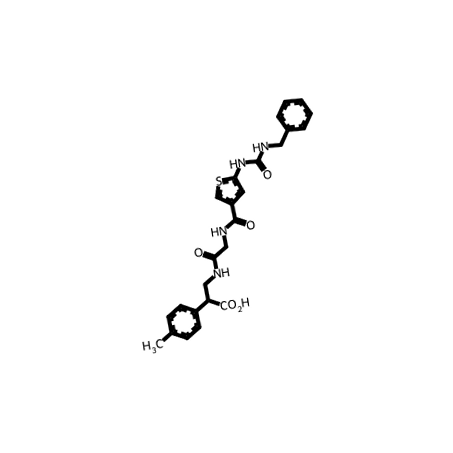 Cc1ccc(C(CNC(=O)CNC(=O)c2csc(NC(=O)NCc3ccccc3)c2)C(=O)O)cc1